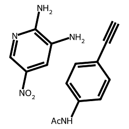 C#Cc1ccc(NC(C)=O)cc1.Nc1cc([N+](=O)[O-])cnc1N